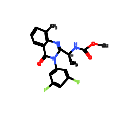 C[C@H](NC(=O)OC(C)(C)C)c1nc2c(C(F)(F)F)cccc2c(=O)n1-c1cc(F)cc(F)c1